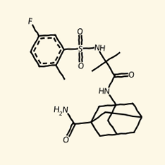 Cc1ccc(F)cc1S(=O)(=O)NC(C)(C)C(=O)NC12CC3CC(C1)CC(C(N)=O)(C3)C2